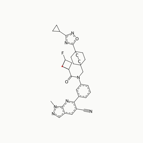 Cn1ncc2cc(C#N)c(-c3cccc(N(CC45CCC(c6nc(C7CC7)no6)(CC4)CC5)C(=O)C45CC(F)(C4)C5)c3)nc21